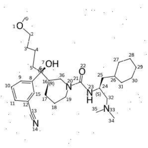 COCCCC[C@@](O)(c1cccc(C#N)c1)[C@@H]1CCCN(C(=O)N[C@@H](CC2CCCCC2)CN(C)C)C1